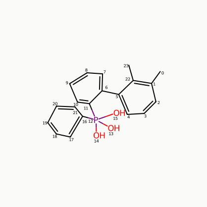 Cc1cccc(-c2ccccc2P(O)(O)(O)c2ccccc2)c1C